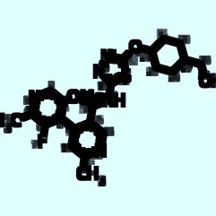 COc1cnc(C)c(F)c1-c1cc(C)ncc1C(=O)Nc1nnc(OC2CCC(CO)CC2)s1